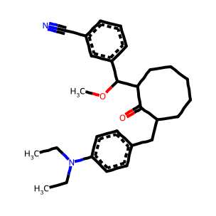 CCN(CC)c1ccc(CC2CCCCCC(C(OC)c3cccc(C#N)c3)C2=O)cc1